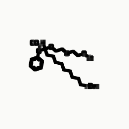 CCCCCCCCCCCCCCCCCCCC(OCCOCCOCC)(Oc1ccccc1)C(=O)O